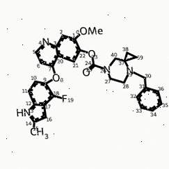 COc1cc2nccc(Oc3ccc4[nH]c(C)cc4c3F)c2cc1OC(=O)N1CCN(Cc2ccccc2)C2(CC2)C1